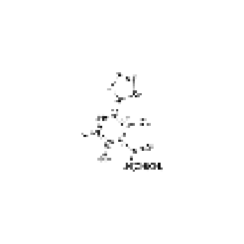 CN(O)C(=O)c1c(=N)n(C)nc(C2CC=CS2)[n+]1[O-]